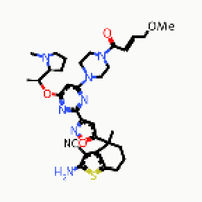 COC/C=C/C(=O)N1CCN(c2cc(O[C@@H](C)[C@@H]3CCCN3C)nc(-c3cc(C4(C)CCCc5sc(N)c(C#N)c54)on3)n2)CC1